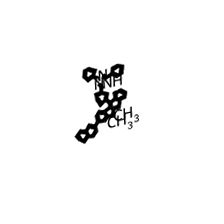 CC1(C)c2cc(-c3ccc4ccccc4c3)ccc2-c2c1cc1ccccc1c2-c1cccc(C2N=C(c3ccccc3)N=C(c3ccccc3)N2)c1